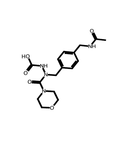 CC(=O)NCc1ccc(CN(NC(=O)O)C(=O)N2CCOCC2)cc1